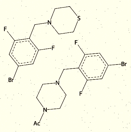 CC(=O)N1CCN(Cc2c(F)cc(Br)cc2F)CC1.Fc1cc(Br)cc(F)c1CN1CCSCC1